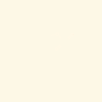 Cc1ccc(S(=O)(=O)OC2CCC(C(C)C)CC2)cc1